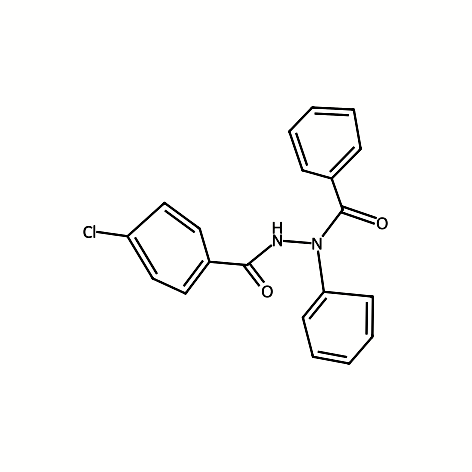 O=C(NN(C(=O)c1ccccc1)c1ccccc1)c1ccc(Cl)cc1